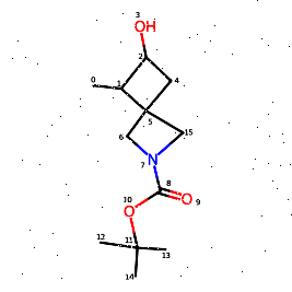 CC1C(O)CC12CN(C(=O)OC(C)(C)C)C2